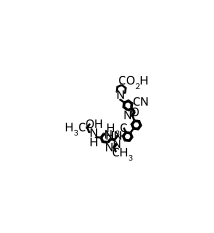 Cc1nc(Nc2cccc(-c3cccc(-c4nc5cc(CN6CCC(C(=O)O)CC6)cc(C#N)c5o4)c3)c2C)c2ncc(CNCC(C)O)cc2n1